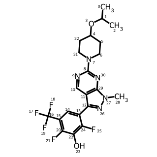 CC(C)OC1CCN(c2ncc3c(-c4cc(C(F)(F)F)c(F)c(O)c4F)nn(C)c3n2)CC1